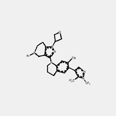 CC(=O)N1CCc2c(c(N3CCCc4cc(-c5cnn(C)c5C)c(C#N)cc43)nn2C2COC2)C1